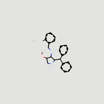 CCOC1CNC(C(c2ccccc2)c2ccccc2)C1NCc1ccccc1OC